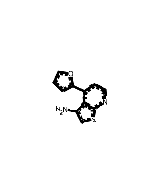 Nc1csc2nccc(-c3ccco3)c12